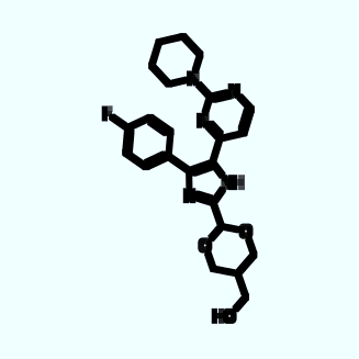 OCC1COC(c2nc(-c3ccc(F)cc3)c(-c3ccnc(N4CCCCC4)n3)[nH]2)OC1